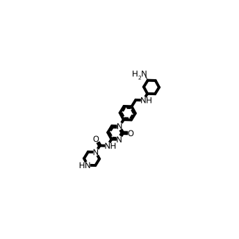 N[C@@H]1CCCC(NCc2ccc(-n3ccc(NC(=O)N4CCNCC4)nc3=O)cc2)C1